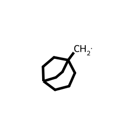 [CH2]C12CCCC(CC1)CC2